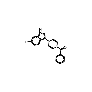 O=C(c1ccccc1)N1C=CC(c2c[nH]c3cc(F)ccc23)C=C1